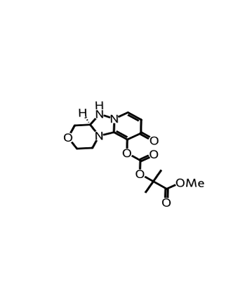 COC(=O)C(C)(C)OC(=O)Oc1c2n(ccc1=O)N[C@@H]1COCCN21